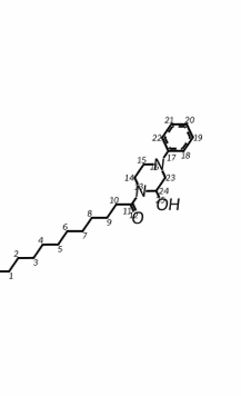 CCCCCCCCCCCC(=O)N1CCN(c2ccccc2)CC1O